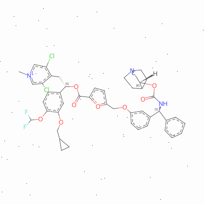 C[n+]1cc(Cl)c(C[C@H](OC(=O)c2ccc(COc3cccc([C@@H](NC(=O)O[C@H]4CN5CCC4CC5)c4ccccc4)c3)o2)c2ccc(OC(F)F)c(OCC3CC3)c2)c(Cl)c1